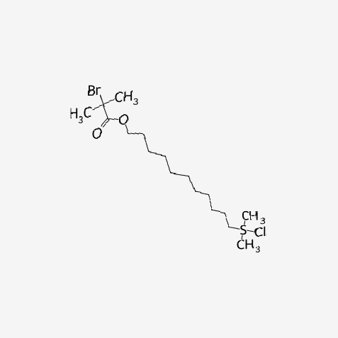 CC(C)(Br)C(=O)OCCCCCCCCCCCS(C)(C)Cl